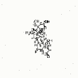 COC(O)(CC(=O)O)C(=O)[C@@]1(O)[C@H](C)C[C@H]2[C@@H]3C[C@H](F)C4=CC(=O)C=C[C@]4(C)[C@@]3(F)[C@@H](O)C[C@@]21C